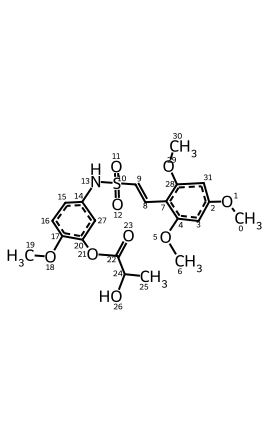 COc1cc(OC)c(C=CS(=O)(=O)Nc2ccc(OC)c(OC(=O)C(C)O)c2)c(OC)c1